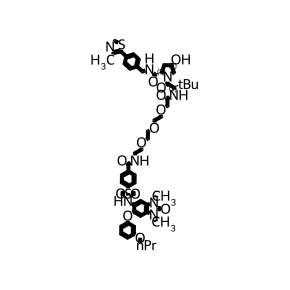 CCCOc1cccc(Oc2cc3c(cc2NS(=O)(=O)c2ccc(C(=O)NCCOCCOCCOCC(=O)N[C@H](C(=O)N4C[C@H](O)C[C@H]4C(=O)NCc4ccc(-c5scnc5C)cc4)C(C)(C)C)cc2)n(C)c(=O)n3C)c1